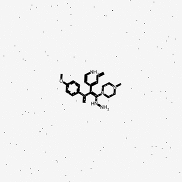 C=C/C=C(\C=C/N)C(/C(=C)c1ccc(OC)cc1)=C(/NN)N1CCN(C)CC1